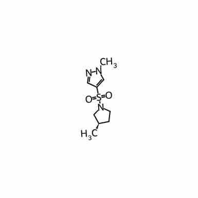 C[C@@H]1CCN(S(=O)(=O)c2cnn(C)c2)C1